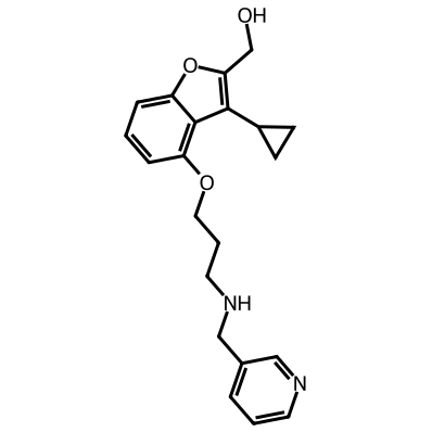 OCc1oc2cccc(OCCCNCc3cccnc3)c2c1C1CC1